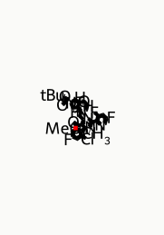 COC(=O)C1=C(CN2CCO[C@H]3CN(C(=O)OC(C)(C)C)C[C@@H]32)NC(c2ncc(F)cc2F)=N[C@]1(C)c1ccc(F)cc1Cl